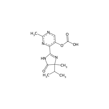 Cc1ncc(OC(=O)O)c(C2=NC(C)(C(C)C)C(=O)N2)n1